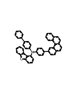 c1ccc(-c2ccc(N(c3ccc(-c4ccc5ccc6ccc7ccccc7c6c5c4)cc3)c3cccc4oc5ccccc5c34)cc2)cc1